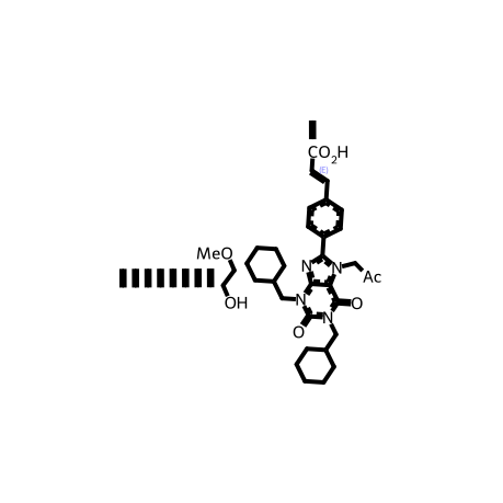 C=C.C=C.C=C.C=C.C=C.C=C.C=C.C=C.C=C.CC(=O)Cn1c(-c2ccc(/C=C/C(=O)O)cc2)nc2c1c(=O)n(CC1CCCCC1)c(=O)n2CC1CCCCC1.COCCO